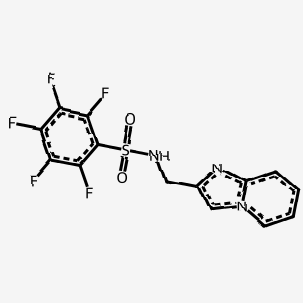 O=S(=O)(NCc1cn2ccccc2n1)c1c(F)c(F)c(F)c(F)c1F